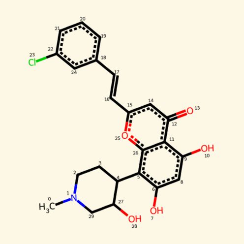 CN1CCC(c2c(O)cc(O)c3c(=O)cc(/C=C/c4cccc(Cl)c4)oc23)C(O)C1